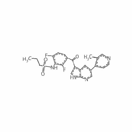 CCCS(=O)(=O)Nc1c(F)ccc(C(=O)c2c[nH]c3ncc(-c4ccncc4C)cc23)c1F